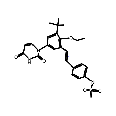 CCOc1c(/C=C/c2ccc(NS(C)(=O)=O)cc2)cc(-n2ccc(=O)[nH]c2=O)cc1C(C)(C)C